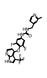 Cc1cc(CNC(=O)Nc2cc(F)c(Oc3ccnc4[nH]cc(C(F)(F)F)c34)c(F)c2)ccn1